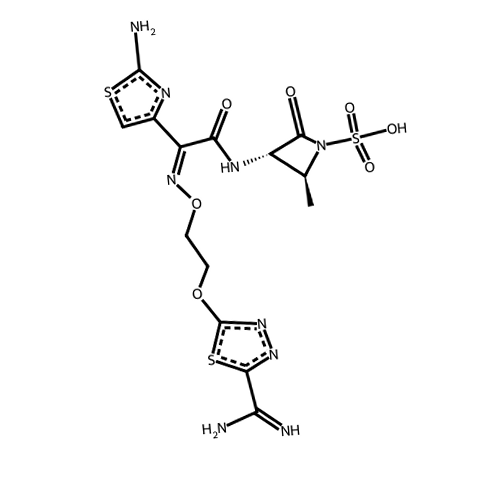 C[C@H]1[C@H](NC(=O)/C(=N\OCCOc2nnc(C(=N)N)s2)c2csc(N)n2)C(=O)N1S(=O)(=O)O